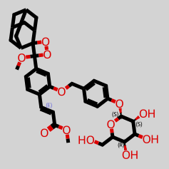 COC(=O)/C=C/c1ccc(C2(OC)OOC23C2CC4CC(C2)CC3C4)cc1OCc1ccc(O[C@@H]2OC(CO)[C@H](O)C(O)[C@@H]2O)cc1